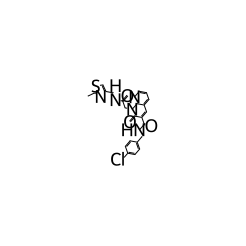 Cc1nc(CNC(=O)Cn2c(=O)c(C(=O)NCc3ccc(Cl)cc3)cc3cccnc32)cs1